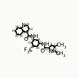 Cc1cc(C(=O)Nc2cc(NC(=O)c3ccnc4ccccc34)cc(C(F)(F)F)c2)nn1C